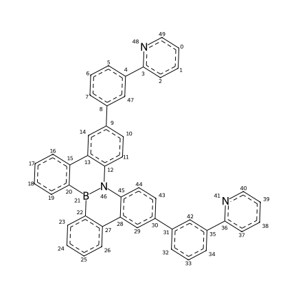 c1ccc(-c2cccc(-c3ccc4c(c3)-c3ccccc3B3c5ccccc5-c5cc(-c6cccc(-c7ccccn7)c6)ccc5N34)c2)nc1